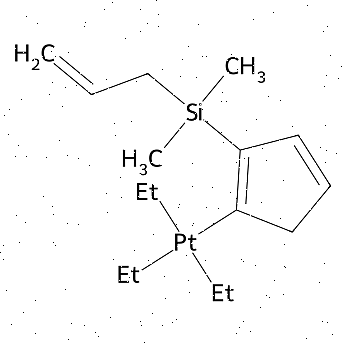 C=CC[Si](C)(C)C1=[C]([Pt]([CH2]C)([CH2]C)[CH2]C)CC=C1